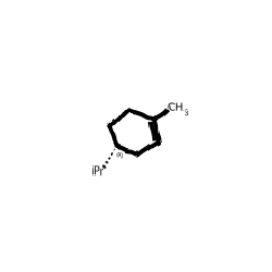 CC1=CC[C@H](C(C)C)CC1